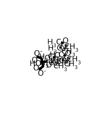 CC(=O)[N+](C)(C)C.CC(=O)[N+](C)(C)C.CC(=O)[N+](C)(C)C.O=C([O-])CC(O)(CC(=O)[O-])C(=O)[O-]